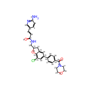 Nc1ccc(/C=C/C(=O)NCC2Cc3cc(-c4ccc(C(=O)N5CCOCC5)cc4)cc(Cl)c3O2)cn1